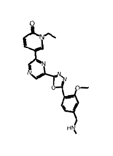 CCn1cc(-c2cncc(-c3nnc(-c4ccc(CNC)cc4OC)o3)n2)ccc1=O